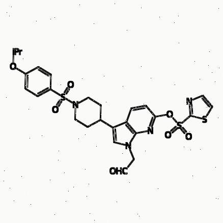 CC(C)Oc1ccc(S(=O)(=O)N2CCC(c3cn(CC=O)c4nc(OS(=O)(=O)c5nccs5)ccc34)CC2)cc1